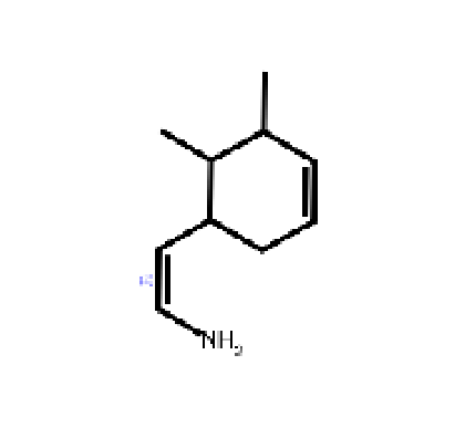 CC1C=CCC(/C=C\N)C1C